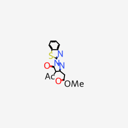 COC(=O)CC1=NN(c2nc3ccccc3s2)C(=O)C1C(C)=O